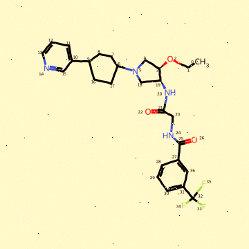 CCO[C@@H]1CN(C2CCC(c3cccnc3)CC2)C[C@@H]1NC(=O)CNC(=O)c1cccc(C(F)(F)F)c1